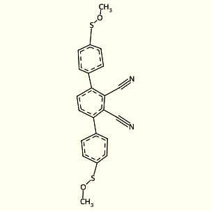 COSc1ccc(-c2ccc(-c3ccc(SOC)cc3)c(C#N)c2C#N)cc1